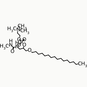 CCCCCCCCCCCCCCCCOCC(CNC(=O)NC)OP(=O)([O-])OCC[N+](C)(C)C